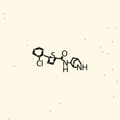 O=C(NC1CC2CNC1C2)c1ccc(-c2ccccc2Cl)s1